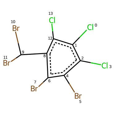 Clc1c(Cl)c(Br)c(Br)c(C(Br)Br)c1Cl